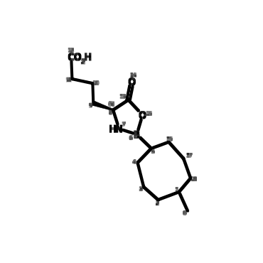 CC1CCCC(B2N[C@@H](CCCC(=O)O)C(=O)O2)CCC1